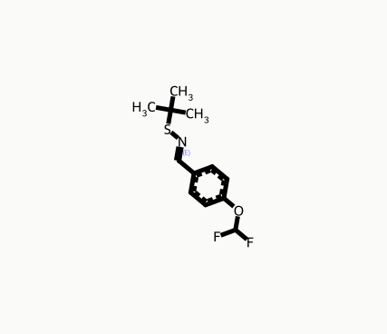 CC(C)(C)S/N=C/c1ccc(OC(F)F)cc1